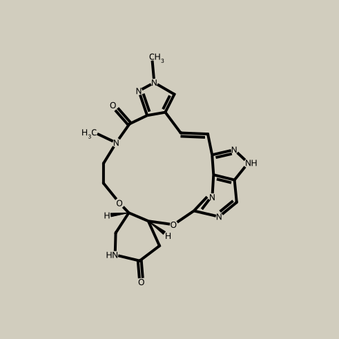 CN1CCO[C@H]2CNC(=O)C[C@H]2Oc2ncc3[nH]nc(c3n2)/C=C/c2cn(C)nc2C1=O